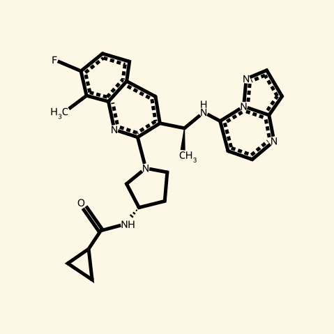 Cc1c(F)ccc2cc([C@H](C)Nc3ccnc4ccnn34)c(N3CC[C@H](NC(=O)C4CC4)C3)nc12